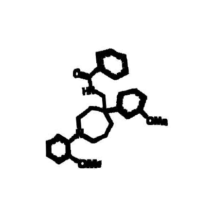 COc1cccc(C2(CNC(=O)c3ccccc3)CCCN(c3ccccc3OC)CC2)c1